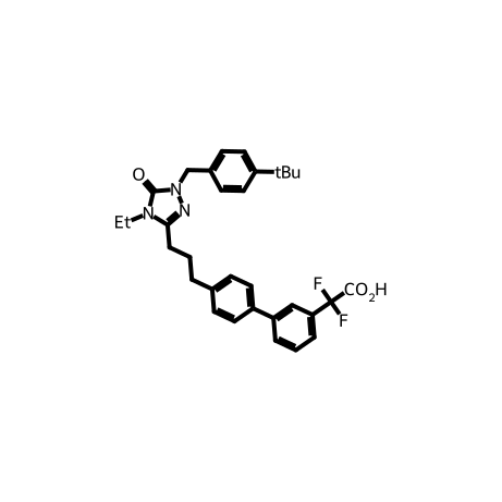 CCn1c(CCCc2ccc(-c3cccc(C(F)(F)C(=O)O)c3)cc2)nn(Cc2ccc(C(C)(C)C)cc2)c1=O